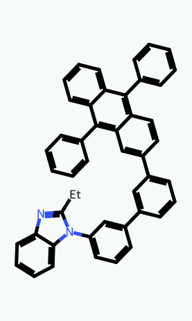 CCc1nc2ccccc2n1-c1cccc(-c2cccc(-c3ccc4c(-c5ccccc5)c5ccccc5c(-c5ccccc5)c4c3)c2)c1